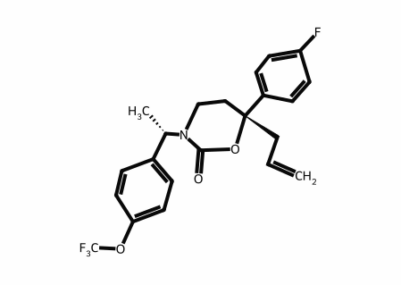 C=CC[C@]1(c2ccc(F)cc2)CCN([C@@H](C)c2ccc(OC(F)(F)F)cc2)C(=O)O1